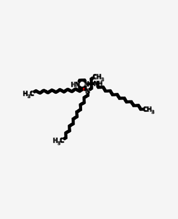 CCCCCCCCCCCCCCNC(CC)(CN(CCCCCCCCCCCCCC)CCCCCCCCCCCCCC)N1CCNCC1